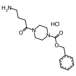 Cl.NCCCC(=O)N1CCN(C(=O)OCc2ccccc2)CC1